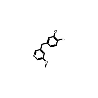 COc1cncc([CH]c2ccc(Cl)c(Cl)c2)c1